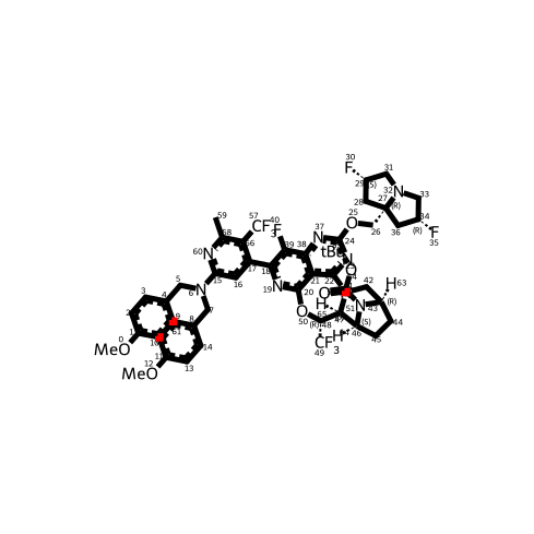 COc1ccc(CN(Cc2ccc(OC)cc2)c2cc(-c3nc4c5c(nc(OC[C@]67C[C@H](F)CN6C[C@H](F)C7)nc5c3F)N3C[C@H]5CC[C@@H]([C@H]3[C@H](C(F)(F)F)O4)N5C(=O)OC(C)(C)C)c(C(F)(F)F)c(C)n2)cc1